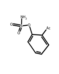 CC(=O)c1ccccc1OS(N)(=O)=O